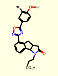 CC(C)Oc1ccc(-c2nc(-c3cccc4c3CC3CC(=O)N(CCC(=O)O)C43)no2)cc1C#N